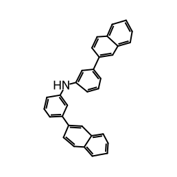 c1cc(Nc2cccc(-c3ccc4ccccc4c3)c2)cc(-c2ccc3ccccc3c2)c1